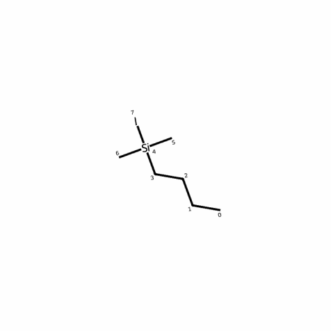 CCCC[Si](C)(C)I